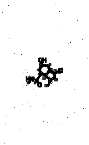 CNC(=O)c1cc(O)cc2c(Cl)cn(C)c12